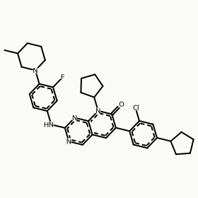 CC1CCCN(c2ccc(Nc3ncc4cc(-c5ccc(C6CCCC6)cc5Cl)c(=O)n(C5CCCC5)c4n3)cc2F)C1